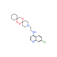 Clc1ccc2c(NCCN3CCC4(CC3)OCC3(CCCCC3)OO4)ccnc2c1